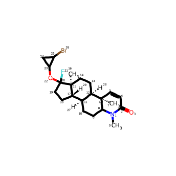 CN1C(=O)C=C[C@@]2(C)C1CC[C@@H]1[C@H]2CC[C@@]2(C)[C@H]1CCC2(F)OC1CC1Br